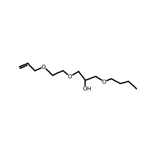 C=CCOCCOCC(O)COCCCC